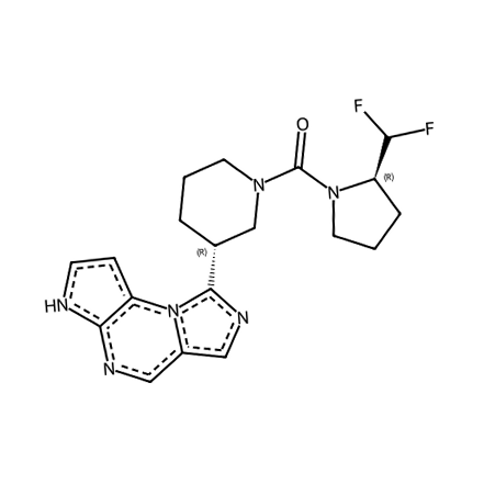 O=C(N1CCC[C@@H](c2ncc3cnc4[nH]ccc4n23)C1)N1CCC[C@@H]1C(F)F